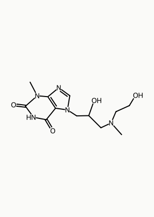 CN(CCO)CC(O)Cn1cnc2c1c(=O)[nH]c(=O)n2C